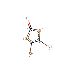 O=c1sc(S)c(S)s1